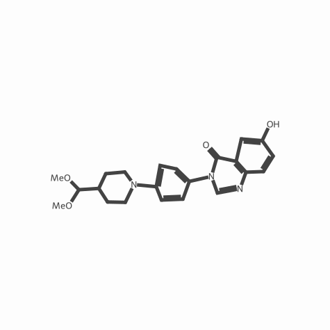 COC(OC)C1CCN(c2ccc(-n3cnc4ccc(O)cc4c3=O)cc2)CC1